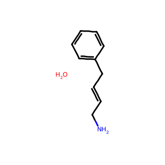 NCC=CCc1ccccc1.O